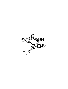 COCCOCCCCC(=NOCCN)c1ccc(Br)cc1.O=C(O)C=CC(=O)O